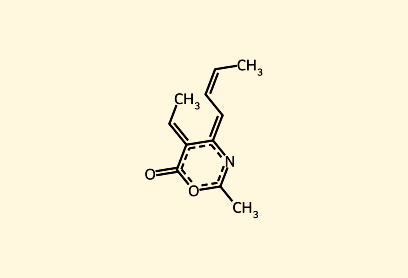 C\C=C/C=c1/nc(C)oc(=O)/c1=C/C